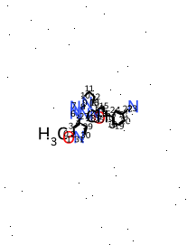 COc1cc(-c2nnc(N3CCC[C@@H]3c3cc(-c4cccc(C#N)c4)on3)n2C)ccn1